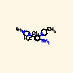 CCN1CCN(C(C)(C)c2ccc(N)c(N3CCC(C)CC3)c2)CC1